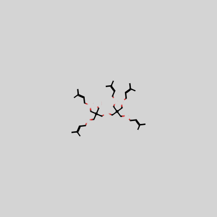 CC(C)=CCOCC(CO)(COCC=C(C)C)COCC(COCC=C(C)C)(COCC=C(C)C)COCC=C(C)C